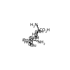 CC(C)C[C@H](NC(=O)OC(C)(C)C)C(=O)N[C@H](CCCCN)C(=O)NCC(=O)NCC(=O)N[C@@H](CCCCN)C(=O)O